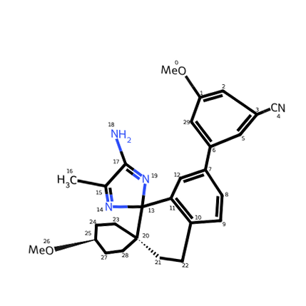 COc1cc(C#N)cc(-c2ccc3c(c2)C2(N=C(C)C(N)=N2)[C@]2(CC3)CC[C@H](OC)CC2)c1